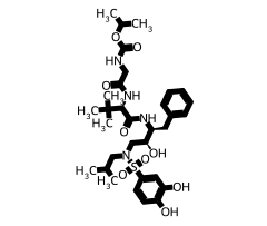 CC(C)CN(C[C@@H](O)[C@H](Cc1ccccc1)NC(=O)[C@@H](NC(=O)CNC(=O)OC(C)C)C(C)(C)C)S(=O)(=O)c1ccc(O)c(O)c1